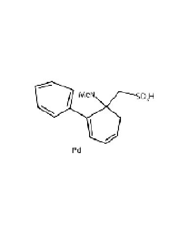 CNC1(CS(=O)(=O)O)CC=CC=C1c1ccccc1.[Pd]